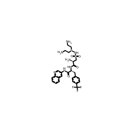 NCCN(CCN)NS(=O)(=O)C[C@H](N)C(=O)N[C@@H](Cc1ccc(C(F)(F)F)cc1)C(=O)Nc1cnc2ccccc2c1